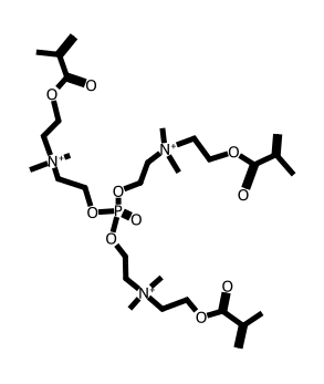 C=C(C)C(=O)OCC[N+](C)(C)CCOP(=O)(OCC[N+](C)(C)CCOC(=O)C(=C)C)OCC[N+](C)(C)CCOC(=O)C(=C)C